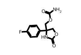 NC(=O)OCC1(c2ccc(F)cc2)COC(=O)N1